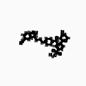 CS(=O)(=O)c1ccc(C2CNCCO2)c(C(=O)N2CCN(CCCc3c[nH]c4ccc(C#N)cc34)CC2)c1